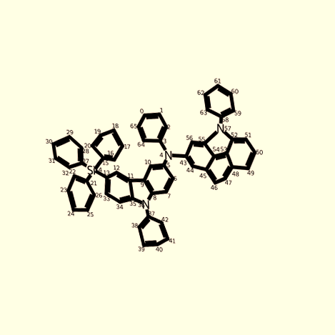 c1ccc(N(c2ccc3c(c2)c2cc([Si](c4ccccc4)(c4ccccc4)c4ccccc4)ccc2n3-c2ccccc2)c2cc3ccc4cccc5c4c3c(c2)n5-c2ccccc2)cc1